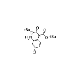 CC(C)(C)OC(=O)N(C(=O)OC(C)(C)C)c1ccc(Cl)cc1N